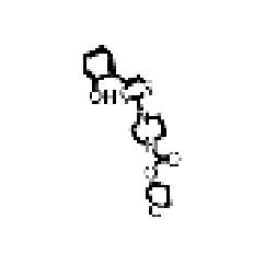 O=C(O[C@H]1CCOC1)N1CCN(c2nc(-c3ccccc3O)cs2)CC1